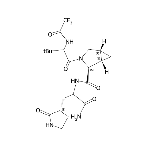 CC(C)(C)C(NC(=O)C(F)(F)F)C(=O)N1C[C@@H]2C[C@@H]2[C@H]1C(=O)NC(C[C@@H]1CCNC1=O)C(N)=O